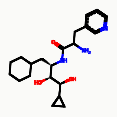 NC(Cc1cccnc1)C(=O)N[C@@H](CC1CCCCC1)[C@@H](O)[C@@H](O)C1CC1